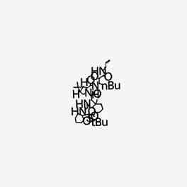 C=CCNC(=O)C(=O)C(CCCC)NC(=O)[C@@H]1[C@@H]2[C@H](CN1C(=O)[C@@H](NC(=O)NC1(CS(=O)(=O)C(C)(C)C)CCCCC1)C1(C)CCCCC1)C2(C)C